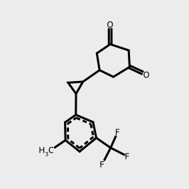 Cc1cc(C2CC2C2CC(=O)CC(=O)C2)cc(C(F)(F)F)c1